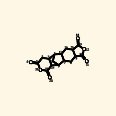 O=C1CC2C3CC(C4CC5C(=O)OC(=O)C5CC34)C2C(=O)O1